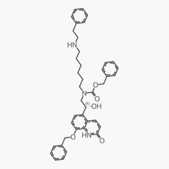 O=C(OCc1ccccc1)N(CCCCCCNCCc1ccccc1)C[C@H](O)c1ccc(OCc2ccccc2)c2[nH]c(=O)ccc12